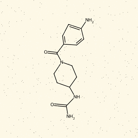 NC(=O)NC1CCN(C(=O)c2ccc(N)cc2)CC1